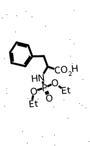 CCOP(=O)(NC(Cc1ccccc1)C(=O)O)OCC